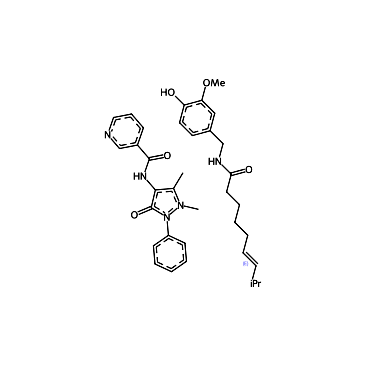 COc1cc(CNC(=O)CCCC/C=C/C(C)C)ccc1O.Cc1c(NC(=O)c2cccnc2)c(=O)n(-c2ccccc2)n1C